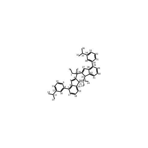 CCC1(C)C2=Cc3c(-c4cccc(C(C)C)c4)cccc3[CH]2[Hf]([CH3])([CH3])[CH]2C1=Cc1c(-c3cccc(C(C)C)c3)cccc12